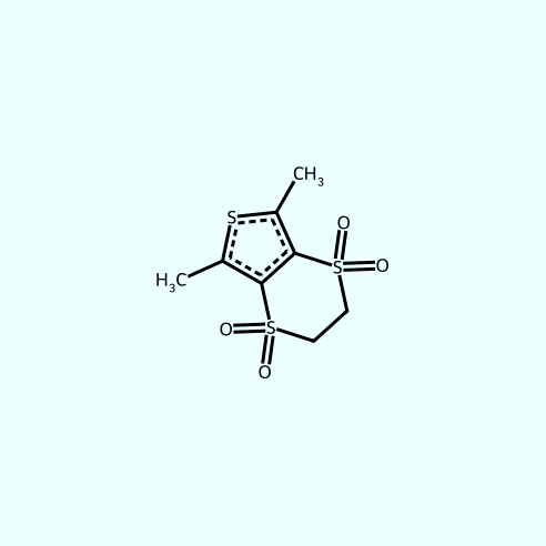 Cc1sc(C)c2c1S(=O)(=O)CCS2(=O)=O